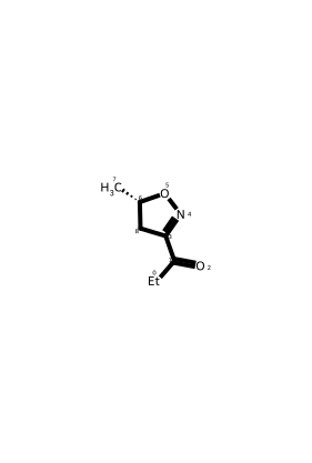 CCC(=O)C1=NO[C@@H](C)C1